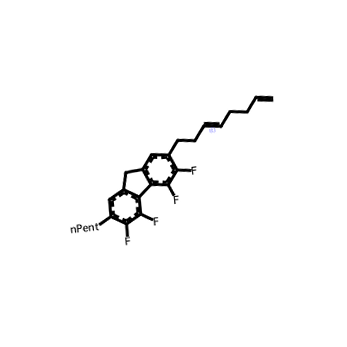 C=CCC/C=C/CCc1cc2c(c(F)c1F)-c1c(cc(CCCCC)c(F)c1F)C2